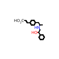 CC(Cc1ccc(/C=C/C(=O)O)cc1)NCC(O)c1ccccc1